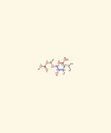 COC(=O)OC(C)ON=[N+]([O-])N(C)[C@H](C(=O)O)C(C)C